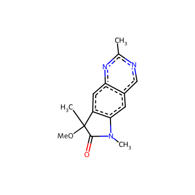 COC1(C)C(=O)N(C)c2cc3cnc(C)nc3cc21